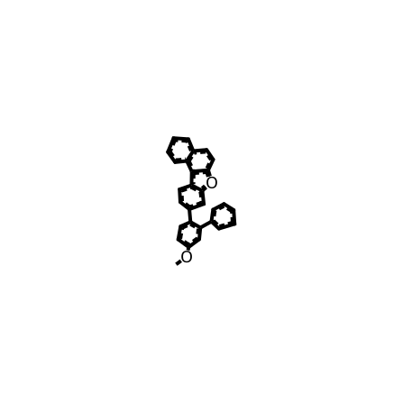 COc1ccc(-c2ccc3c(c2)oc2ccc4ccccc4c23)c(-c2ccccc2)c1